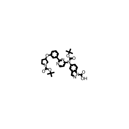 CC(C)(C)OC(=O)N1CCC(Oc2cccc(-c3nccc(N(C(=O)OC(C)(C)C)c4ccc5c(cnn5C(=O)O)c4)n3)c2)C1